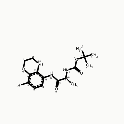 C[C@H](NC(=O)OC(C)(C)C)C(=O)Nc1ccc(F)c2c1NCCO2